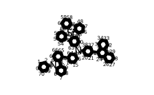 c1ccc(-n2c3ccccc3c3c(-c4cccc(N(c5ccc(-c6cc7ccccc7c7ccccc67)cc5)c5ccc([Si](c6ccccc6)(c6ccccc6)c6ccccc6)cc5)c4)cccc32)cc1